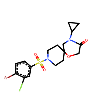 O=C1COC2(CCN(S(=O)(=O)c3ccc(Br)c(F)c3)CC2)CN1C1CC1